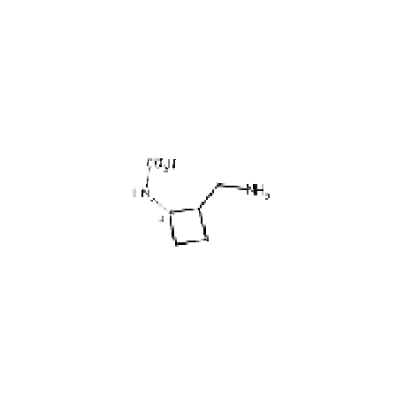 NCC1CC[C@@H]1NC(=O)O